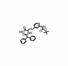 CC(C)(C)OC(=O)Nc1cc(CCC(NC(=O)C(c2ccccc2)c2ccccc2)C(=O)O)ccn1